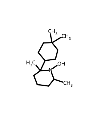 CC1CCCC(C)(C2CCC(C)(C)CC2)N1O